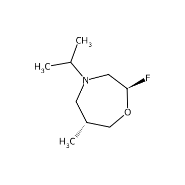 CC(C)N1C[C@@H](C)CO[C@H](F)C1